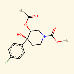 CC(C)(C)OC(=O)N1CC[C@](O)(c2ccc(F)cc2)[C@@H](OC(=O)C(C)(C)C)C1